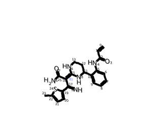 C=CC(=O)Nc1ccccc1C1CCN/C(=C(/C(=N)c2ccc(C)s2)C(N)=O)N1